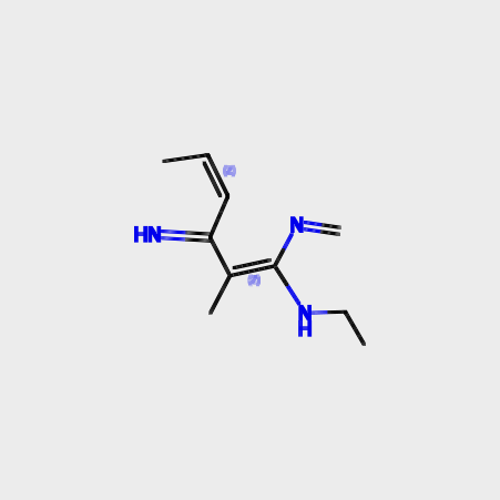 C=N/C(NCC)=C(/C)C(=N)/C=C\C